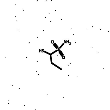 CCC(S)S(N)(=O)=O